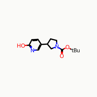 CC(C)(C)OC(=O)N1CCC(c2ccc(O)nc2)C1